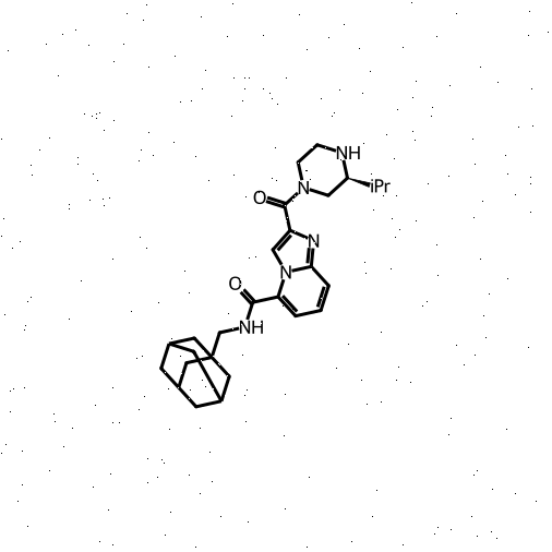 CC(C)[C@H]1CN(C(=O)c2cn3c(C(=O)NCC45CC6CC(CC(C6)C4)C5)cccc3n2)CCN1